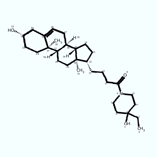 CCC1(O)CCN(C(=O)CCC[C@H]2CC[C@H]3[C@@H]4CC=C5C[C@@H](O)CC[C@]5(C)[C@H]4CC[C@]23C)CC1